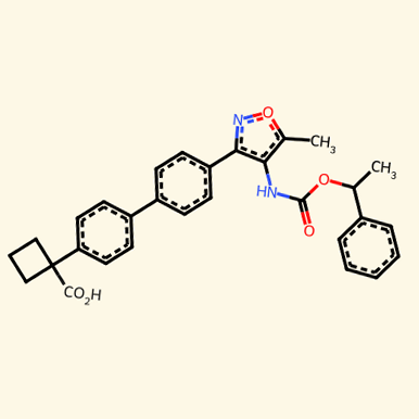 Cc1onc(-c2ccc(-c3ccc(C4(C(=O)O)CCC4)cc3)cc2)c1NC(=O)OC(C)c1ccccc1